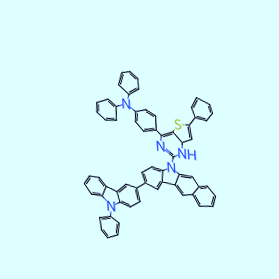 C1=C(c2ccccc2)SC2=C(c3ccc(N(c4ccccc4)c4ccccc4)cc3)N=C(n3c4ccc(-c5ccc6c(c5)c5ccccc5n6-c5ccccc5)cc4c4cc5ccccc5cc43)NC12